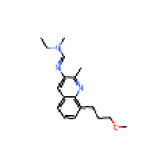 CCN(C)/C=N/c1cc2cccc(CCCOC)c2nc1C